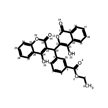 CCOC(=O)c1cccc(C(c2oc(=O)c3ccccc3c2O)c2c(O)c3ccccc3oc2=O)c1